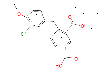 COc1ccc(Cc2ccc(C(=O)O)cc2C(=O)O)cc1Cl